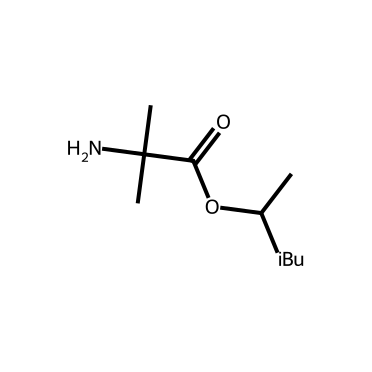 CCC(C)C(C)OC(=O)C(C)(C)N